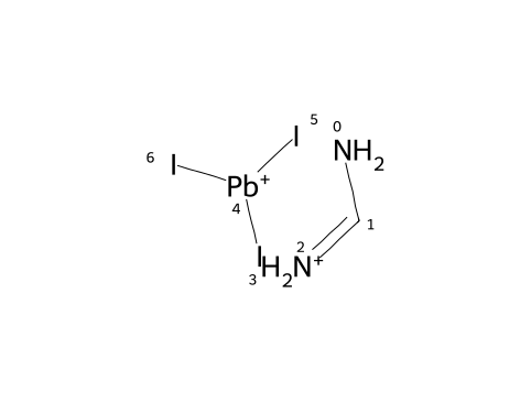 NC=[NH2+].[I][Pb+]([I])[I]